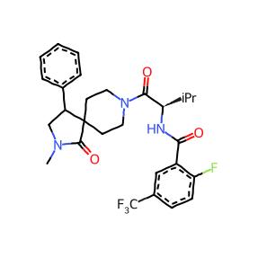 CC(C)[C@@H](NC(=O)c1cc(C(F)(F)F)ccc1F)C(=O)N1CCC2(CC1)C(=O)N(C)CC2c1ccccc1